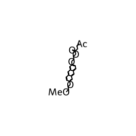 COCCOc1ccc2cc3cc(OCCOC(=O)CCC(C)=O)ccc3cc2c1